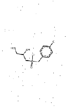 NCC(O)CP(=O)(O)Cc1ccc(Cl)cc1